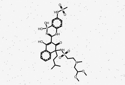 COC(CN(C)CCS(=O)(=O)NC1(CCC(C)C)C(=O)C(C2=NS(O)(O)c3cc(NS(C)(=O)=O)ccc3N2)=C(O)c2ccccc21)OC